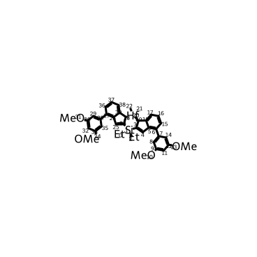 CC[Si]1(CC)C2=Cc3c(-c4cc(OC)cc(OC)c4)cccc3[CH]2[Hf]([CH3])([CH3])[CH]2C1=Cc1c(-c3cc(OC)cc(OC)c3)cccc12